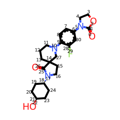 O=C1OCCN1c1ccc(N2CCCC3(CCN([C@H]4CC[C@H](O)CC4)C3=O)C2)c(F)c1